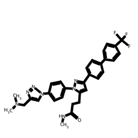 CNC(=O)CCc1cc(-c2ccc(-c3ccc(C(F)(F)F)cc3)cc2)nn1-c1ccc(-n2cc(CN(C)C)nn2)cc1